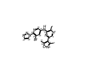 Cc1ncc(-c2c(C)noc2C)nc1Nc1cnc(-n2ccnn2)c(Br)c1